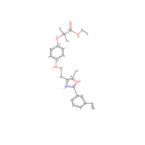 C=Cc1cccc(-c2nc(CCOc3ccc(OC(C)(C)C(=O)OCC)cc3)c(C)o2)c1